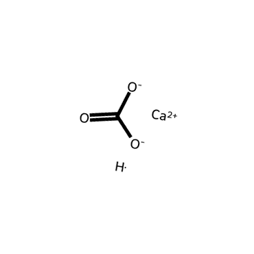 O=C([O-])[O-].[Ca+2].[H]